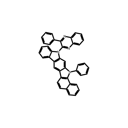 c1ccc(-c2nc3ccccc3nc2-n2c3ccccc3c3cc4c5ccc6ccccc6c5n(-c5ccccc5)c4cc32)cc1